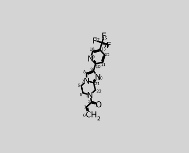 C=CC(=O)N1CCn2cc(-c3ccc(C(F)(F)F)cn3)nc2C1